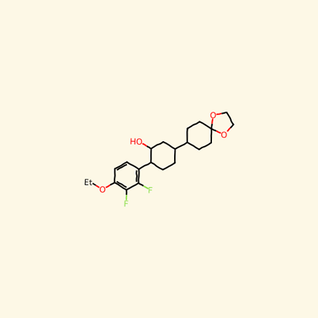 CCOc1ccc(C2CCC(C3CCC4(CC3)OCCO4)CC2O)c(F)c1F